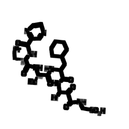 CCC(NC(=O)C(CC1CCCCC1)NC(=O)[C@@H](NC(=O)[C@H](CC(C)C)NC(=O)c1cnccn1)C(C)CC)C(=O)C(=O)NCS(=O)(=O)O